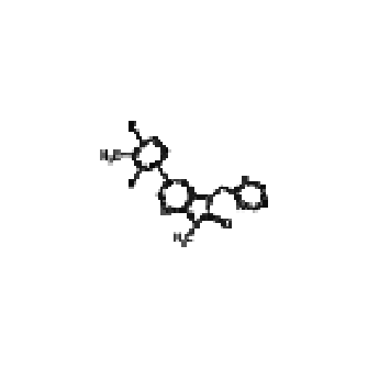 Cc1c(F)ccc(-c2cnc3c(c2)n(Cc2ncccn2)c(=O)n3C)c1F